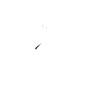 CC(C)C(C)C(=O)[C@@H]1CCCN1C(C)(C)C